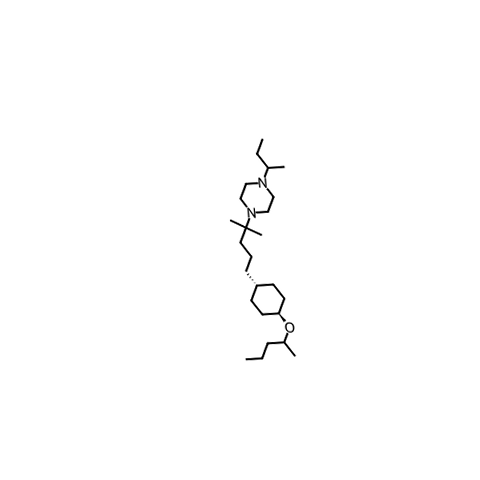 CCCC(C)O[C@H]1CC[C@H](CCCC(C)(C)N2CCN(C(C)CC)CC2)CC1